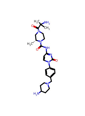 C[C@@H]1CN(C(=O)C(C)(C)N)CCN1C(=O)Nc1ccn(-c2ccc(CN3CCC(N)CC3)cc2)c(=O)n1